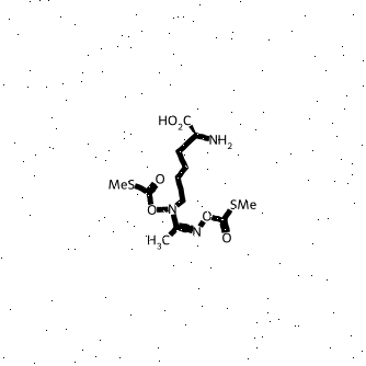 CSC(=O)O/N=C(/C)N(CCCC[C@H](N)C(=O)O)OC(=O)SC